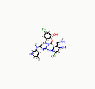 CN/C=C1/C=C(N/C(=N/C(=O)N(C)C2=CNCC(C)=C2)N(C=O)Cc2cc(O)cc(F)c2)C(Cl)=CC1=N